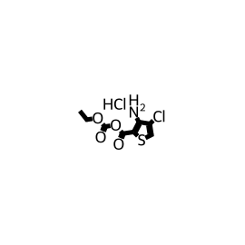 CCOC(=O)OC(=O)c1scc(Cl)c1N.Cl